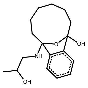 CC(O)CNC12CCCCCCC(O)(O1)c1ccccc12